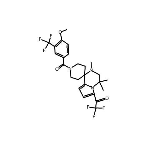 COc1ccc(C(=O)N2CCC3(CC2)c2ccc(C(=O)C(F)(F)F)n2C(C)(C)CN3C)cc1C(F)(F)F